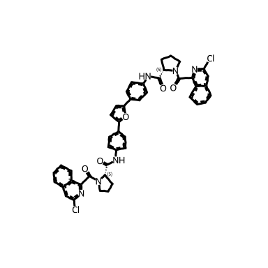 O=C(Nc1ccc(-c2ccc(-c3ccc(NC(=O)[C@@H]4CCCN4C(=O)c4nc(Cl)cc5ccccc45)cc3)o2)cc1)[C@@H]1CCCN1C(=O)c1nc(Cl)cc2ccccc12